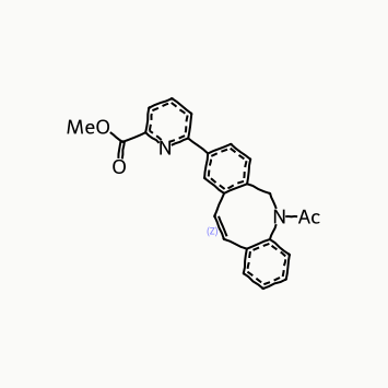 COC(=O)c1cccc(-c2ccc3c(c2)/C=C\c2ccccc2N(C(C)=O)C3)n1